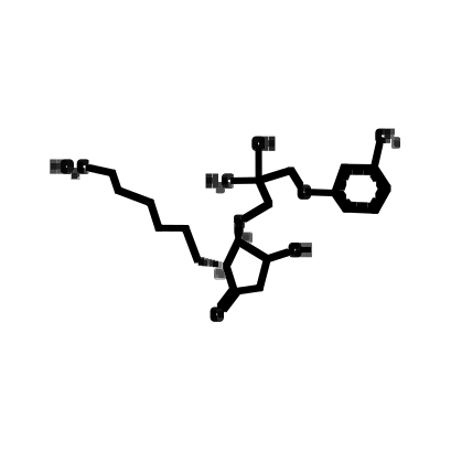 CC(O)(COc1cccc(C(F)(F)F)c1)CS[C@H]1C(O)CC(=O)[C@@H]1CCCCCCC(=O)O